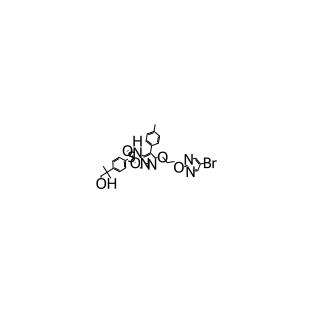 Cc1ccc(-c2c(OCCOc3ncc(Br)cn3)nn(C)c2NS(=O)(=O)c2ccc(C(C)(C)CO)cc2)cc1